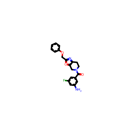 Nc1cc(F)cc(C(=O)N2CCc3nc(COc4ccccc4)oc3C2)c1